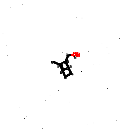 CC1=C2CCC2C1CO